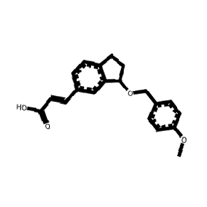 COc1ccc(COC2CCc3ccc(C=CC(=O)O)cc32)cc1